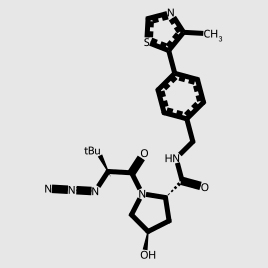 Cc1ncsc1-c1ccc(CNC(=O)[C@@H]2C[C@@H](O)CN2C(=O)[C@@H](N=[N+]=[N-])C(C)(C)C)cc1